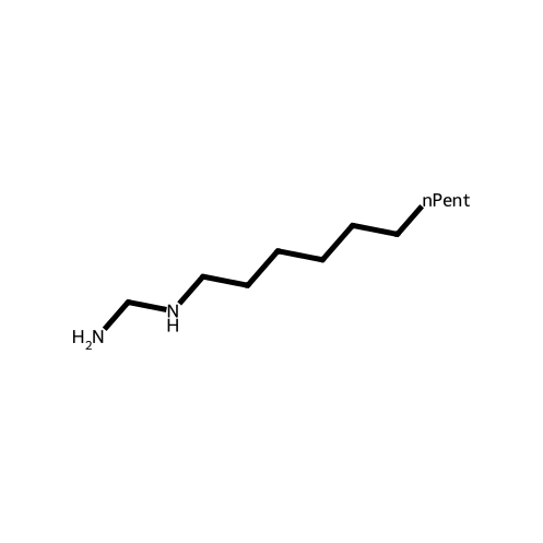 CCCCCCCCCCCNCN